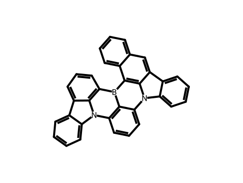 c1cc2c3c(c1)-n1c4ccccc4c4cc5ccccc5c(c41)B3c1cccc3c4ccccc4n-2c13